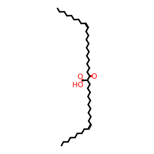 CCCCCCCC/C=C\CCCCCCCCCCCC(=O)C(CCCCCCCCCC/C=C\CCCCCCCC)C(=O)O